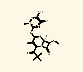 CO[C@H]1C(=O)N2C(C(=O)C(C)(C)C)=C(C)C(Sc3nc(=O)c(O)nn3C)S[C@@H]12